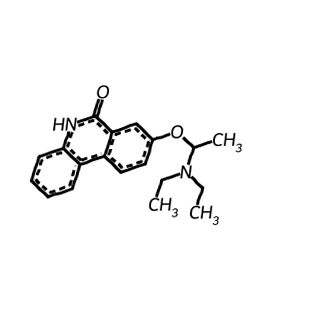 CCN(CC)C(C)Oc1ccc2c(c1)c(=O)[nH]c1ccccc12